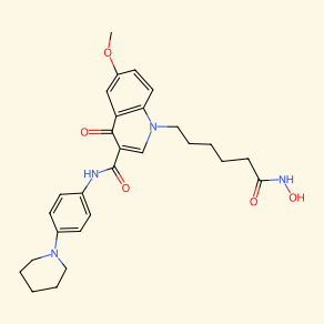 COc1ccc2c(c1)c(=O)c(C(=O)Nc1ccc(N3CCCCC3)cc1)cn2CCCCCC(=O)NO